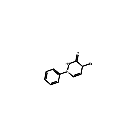 CCC1C=CN(c2ccccc2)NC1=O